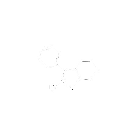 NN1N=C2C=CC=CC2C1c1ccccc1